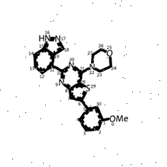 COc1cccc(-c2cc3nc(-c4cccc5[nH]ncc45)nc(N4CCOCC4)c3s2)c1